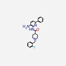 Nc1ccc(-c2ccccc2)nc1NC(=O)C1CCN(Cc2ccccc2F)CC1